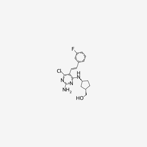 Nc1nc(Cl)c(/C=C/c2cccc(F)c2)c(N[C@H]2CC[C@@H](CO)C2)n1